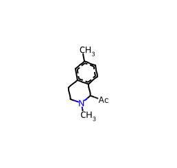 CC(=O)C1c2ccc(C)cc2CCN1C